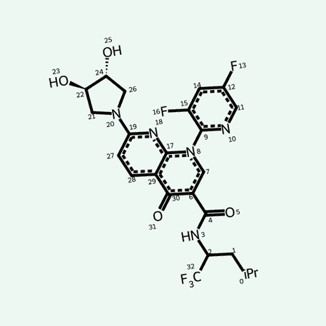 CC(C)CC(NC(=O)c1cn(-c2ncc(F)cc2F)c2nc(N3C[C@@H](O)[C@H](O)C3)ccc2c1=O)C(F)(F)F